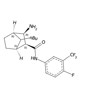 CCCCC1[C@H]2CC[C@@H]1[C@H](C(=O)Nc1ccc(F)c(C(F)(F)F)c1)[C@@H]2N